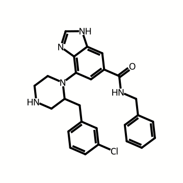 O=C(NCc1ccccc1)c1cc(N2CCNCC2Cc2cccc(Cl)c2)c2nc[nH]c2c1